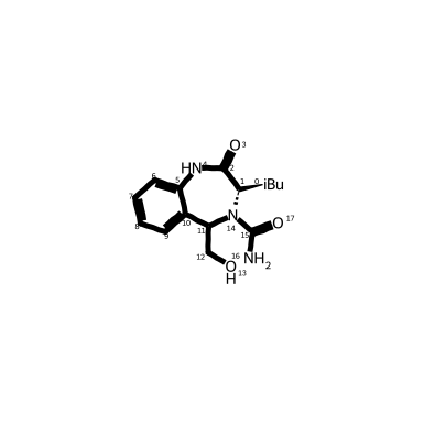 CC[C@H](C)[C@H]1C(=O)Nc2ccccc2C(CO)N1C(N)=O